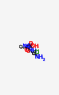 NCc1ccc(CNC(=O)[C@@H]2CN(C(=O)O)CCN2C(=O)[C@H](N)CC2CCCCC2)cc1Cl